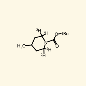 [2H]C1([2H])CC(C)CC([2H])([2H])N1C(=O)OC(C)(C)C